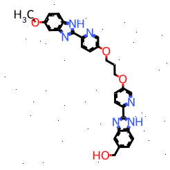 COc1ccc2[nH]c(-c3ccc(OCCCOc4ccc(-c5nc6cc(CO)ccc6[nH]5)nc4)cn3)nc2c1